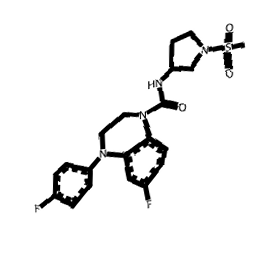 CS(=O)(=O)N1CCC(NC(=O)N2CCN(c3ccc(F)cc3)c3cc(F)ccc32)C1